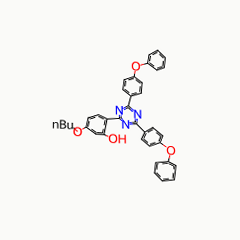 CCCCOc1ccc(-c2nc(-c3ccc(Oc4ccccc4)cc3)nc(-c3ccc(Oc4ccccc4)cc3)n2)c(O)c1